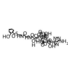 CC(C)(COP(=O)(O)OP(=O)(O)OC[C@H]1O[C@@H](n2cnc3c(N)ncnc32)[C@H](O)[C@@H]1OP(=O)(O)O)[C@@H](O)C(=O)NCCC(=O)NCCSC(=O)c1ccccc1CO